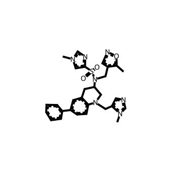 Cc1oncc1CN(C1Cc2cc(-c3ccccc3)ccc2N(Cc2cncn2C)C1)S(=O)(=O)c1cn(C)cn1